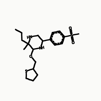 CCCC1(C)NCC(c2ccc(S(C)(=O)=O)cc2)NC1OCC1CCCS1